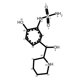 NS(=O)(=O)Nc1cc(C(O)C2CCCCN2)ccc1O